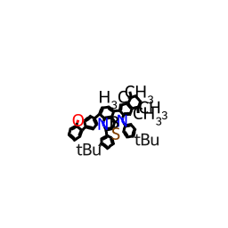 CC(C)(C)c1ccc(N2B3c4sc5ccc(C(C)(C)C)cc5c4-n4c5cc6c(cc5c5ccc(c3c54)-c3cc4c(cc32)C(C)(C)CCC4(C)C)oc2ccccc26)cc1